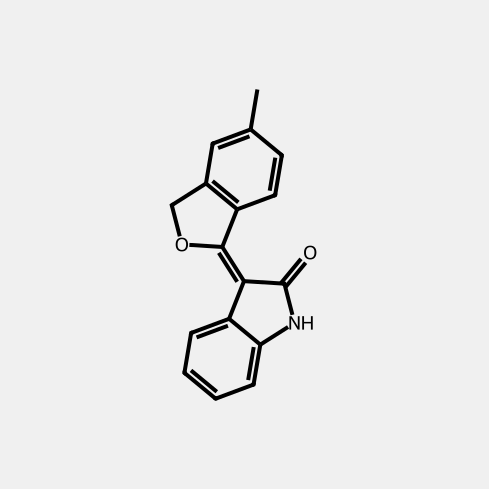 Cc1ccc2c(c1)CO/C2=C1/C(=O)Nc2ccccc21